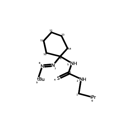 CC(C)CNC(=S)NC1(N=NC(C)(C)C)CCCCC1